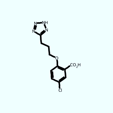 O=C(O)c1cc(Cl)ccc1OCCCc1nn[nH]n1